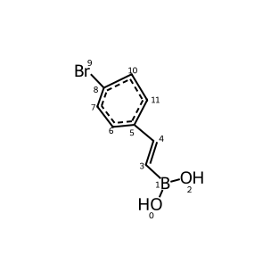 OB(O)C=Cc1ccc(Br)cc1